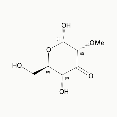 CO[C@@H]1C(=O)[C@H](O)[C@@H](CO)O[C@@H]1O